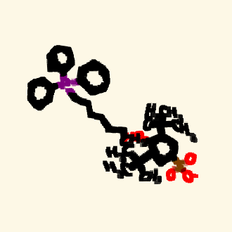 CC(C)(C)c1cc(S(=O)(=O)[O-])cc(C(C)(C)C)c1O.CCCCCCC[P+](c1ccccc1)(c1ccccc1)c1ccccc1